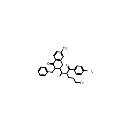 CCC(C(CCCC(C)C)C(=O)c1ccc(C)cc1)C1Cc2cc(C)ccc2C(=O)C1Cc1ccccc1